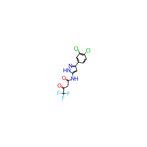 O=C(CC(=O)C(F)(F)F)Nc1cc(-c2ccc(Cl)c(Cl)c2)n[nH]1